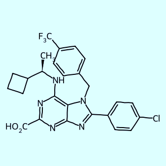 C[C@@H](Nc1nc(C(=O)O)nc2nc(-c3ccc(Cl)cc3)n(Cc3ccc(C(F)(F)F)cc3)c12)C1CCC1